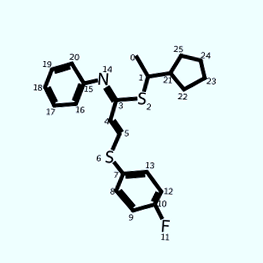 CC(SC(C=CSc1ccc(F)cc1)=Nc1ccccc1)C1CCCC1